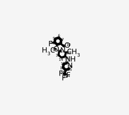 COc1c(F)cccc1C(=O)N1CCCC(Nc2ccc(C(F)(F)F)cn2)C1C